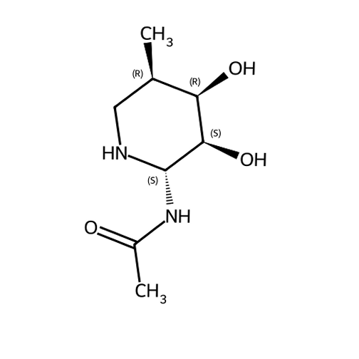 CC(=O)N[C@@H]1NC[C@@H](C)[C@@H](O)[C@H]1O